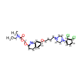 CCN(C)C(=O)OCOC1=Nc2cc(OCCCCN3CCN(c4cccc(Cl)c4Cl)CC3)ccc2CC1